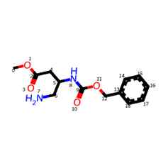 COC(=O)CC(CN)NC(=O)OCc1ccccc1